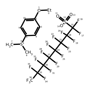 CCOc1ccc([S+](C)C)cc1.O=S(=O)([O-])C(F)(F)C(F)(F)C(F)(F)C(F)(F)C(F)(F)C(F)(F)C(F)(F)C(F)(F)F